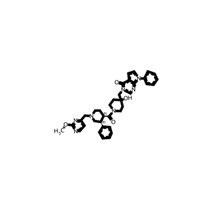 COc1nccc(CN2CC[C@@H](C(=O)N3CCC(O)(Cn4cnc5c(ccn5-c5ccccc5)c4=O)CC3)[C@H](c3ccccc3)C2)n1